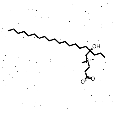 CCCCCCCCCCCCCCCCC(O)(CCC)C[N+](C)(C)CCC(=O)[O-]